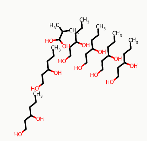 CC(C)C(O)O.CCCC(O)CCO.CCCC(O)CCO.CCCC(O)CCO.CCCC(O)CCO.CCCC(O)CCO.CCCC(O)CCO